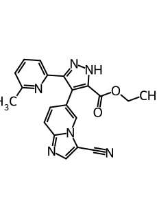 CCOC(=O)c1[nH]nc(-c2cccc(C)n2)c1-c1ccc2ncc(C#N)n2c1